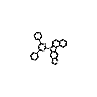 c1ccc(-c2cc(-c3ccccc3)nc(-n3c4cc5ccsc5cc4c4c5ccccc5ccc43)n2)cc1